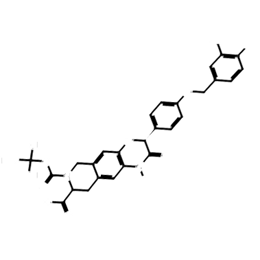 CN1C(=O)[C@H](c2ccc(OCc3ccc(Cl)c(Cl)c3)cc2)Oc2cc3c(cc21)CC(C(=O)O)N(C(=O)OC(C)(C)C)C3